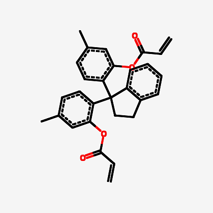 C=CC(=O)Oc1cc(C)ccc1C1(c2ccc(C)cc2OC(=O)C=C)CCc2ccccc21